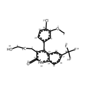 COc1cc(-c2c(CCCO)c(=O)[nH]c3ccc(C(F)(F)F)cc23)ccc1Cl